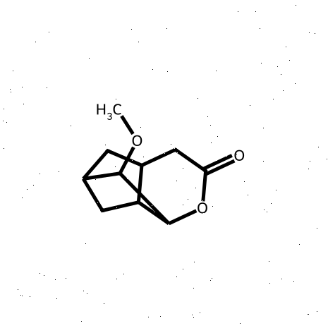 COC1C2CC3CC(=O)OC1C3C2